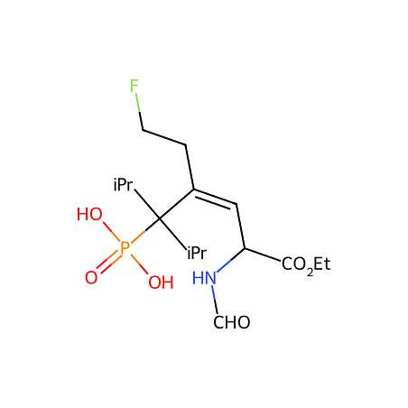 CCOC(=O)C(C=C(CCF)C(C(C)C)(C(C)C)P(=O)(O)O)NC=O